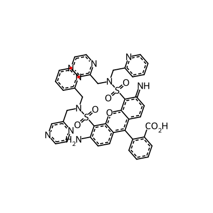 N=c1ccc2c(-c3ccccc3C(=O)O)c3ccc(N)c(S(=O)(=O)N(Cc4ccccn4)Cc4cnccn4)c3oc-2c1S(=O)(=O)N(Cc1ccccn1)Cc1cnccn1